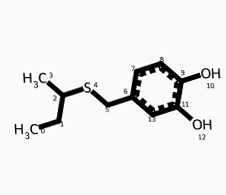 CCC(C)SCc1ccc(O)c(O)c1